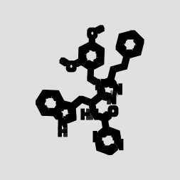 COc1ccc(Cn2c(CCc3ccccc3)nnc2C(Cc2c[nH]c3ccccc23)NC(=O)c2cnccn2)c(OC)c1